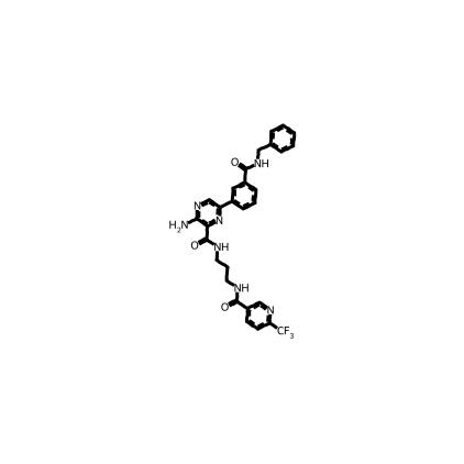 Nc1ncc(-c2cccc(C(=O)NCc3ccccc3)c2)nc1C(=O)NCCCNC(=O)c1ccc(C(F)(F)F)nc1